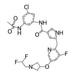 CS(=O)(=O)Nc1cc(Cl)cc(NC(=O)c2c[nH]c(Cc3ncc(OC4CN(CC(F)F)C4)cc3F)c2)c1